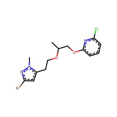 CC(COc1cccc(Cl)n1)OCCc1cc(Br)nn1C